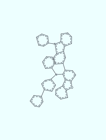 c1ccc(-c2ccc(N(c3ccccc3)c3c(-c4ccc5c(c4)c4ccccc4n5-c4ccccc4)ccc4oc5ccccc5c34)cc2)cc1